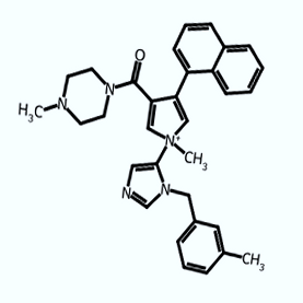 Cc1cccc(Cn2cncc2[N+]2(C)C=C(C(=O)N3CCN(C)CC3)C(c3cccc4ccccc34)=C2)c1